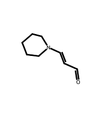 O=CC=CN1CCCCC1